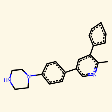 Cc1ncc(-c2ccc(N3CCNCC3)cc2)cc1-c1ccccc1